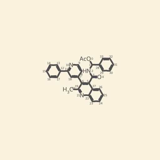 CC(=O)OC(NC(=O)c1c(-c2ccnc(-c3ccccc3)c2)c(C)nc2ccccc12)c1ccccc1